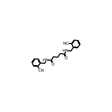 N#Cc1ccccc1CNC(=O)CCCC(=O)NCc1ccccc1C#N